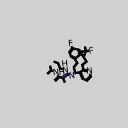 C=C(NC(C)C)/C(C)=C(/N=C(\CCc1ccc(F)cc1)c1cccnc1CCC1CC1(C)F)NCCC